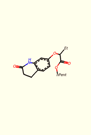 CCCCCOC(=O)C(CC)Oc1ccc2c(c1)NC(=O)CC2